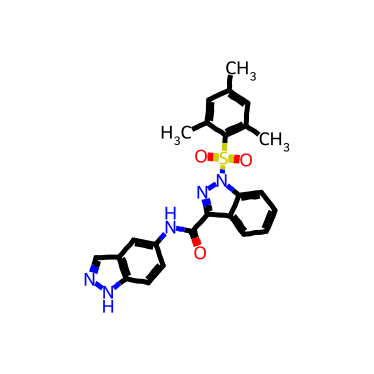 Cc1cc(C)c(S(=O)(=O)n2nc(C(=O)Nc3ccc4[nH]ncc4c3)c3ccccc32)c(C)c1